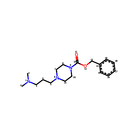 CN(C)CCCN1CCN(C(=O)OCc2ccccc2)CC1